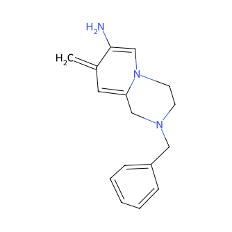 C=C1C=C2CN(Cc3ccccc3)CCN2C=C1N